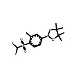 Cc1cc(B2OC(C)(C)C(C)(C)O2)ccc1S(=O)(=O)C(F)F